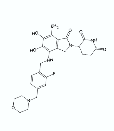 Bc1c(O)c(O)c(NCc2ccc(CN3CCOCC3)cc2F)c2c1C(=O)N(C1CCC(=O)NC1=O)C2